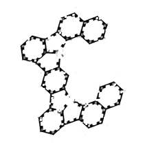 c1ccc2c(c1)ccc1c3cccc4c5cc6c7cccc8c9ccc%10ccccc%10c9n(c6cc5n(c21)c43)c78